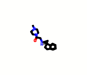 CN1CCN(C(=O)CN[C@@H]2C[C@@]23CCc2ccccc23)CC1